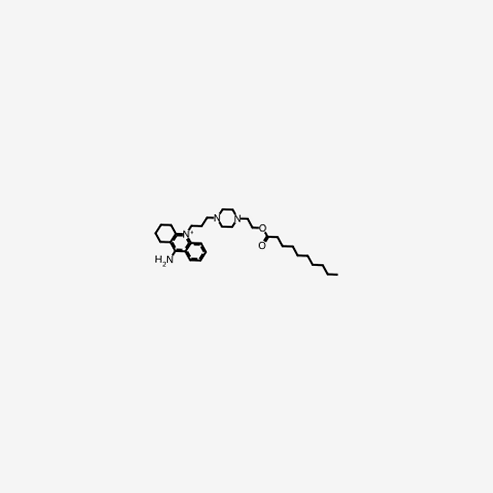 CCCCCCCCCC(=O)OCCN1CCN(CCC[n+]2c3c(c(N)c4ccccc42)CCCC3)CC1